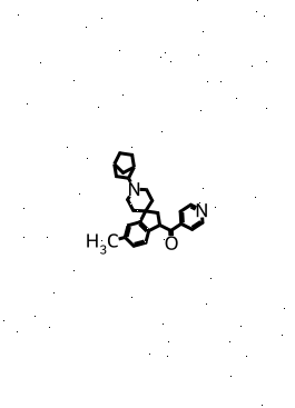 Cc1ccc2c(c1)C1(CCN(C3CC4CCC3C4)CC1)CC2C(=O)c1ccncc1